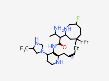 CC/C=C\CC1=C(NC(=O)C(C(C)N)C2CC(C)(CCC)CCC(F)CN2)C(N2CNC(C(F)(F)F)C2)CCN1